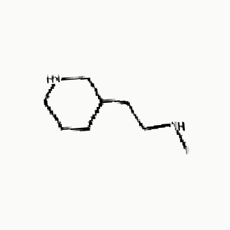 INCCC1CCCNC1